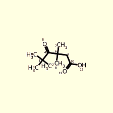 CC(C)(C)C(=O)C(C)(C)CC(=O)O